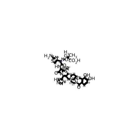 CC(C)(O/N=C(\C(=O)N[C@@H]1C(=O)N2C(c3nnn[nH]3)=C(C[N+]3(CCNC(=O)c4ccc(O)c(O)c4Cl)CCCC3)C[S+]([O-])[C@H]12)c1csc(N)n1)C(=O)O